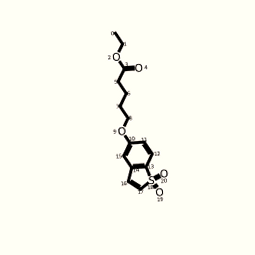 CCOC(=O)CCCCOc1ccc2c(c1)C=CS2(=O)=O